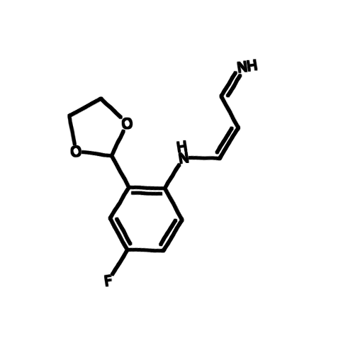 N=C/C=C\Nc1ccc(F)cc1C1OCCO1